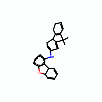 CC1(C)C2=CC(Nc3cccc4c3C3C=CC=CC3O4)=CCC2C2=C1C=CCC2